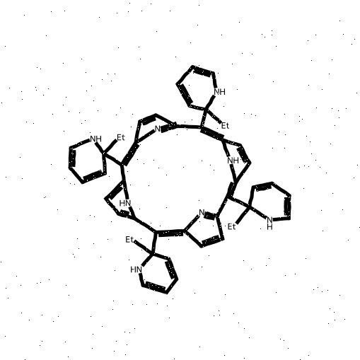 CCC1(c2c3nc(c(C4(CC)C=CC=CN4)c4ccc([nH]4)c(C4(CC)C=CC=CN4)c4nc(c(C5(CC)C=CC=CN5)c5ccc2[nH]5)C=C4)C=C3)C=CC=CN1